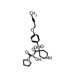 CC#CCOc1ccc(S(=O)(=O)C2(C(=O)N(O)C(=O)N3CCCC3)CCNCC2)cc1